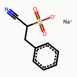 N#CC(Cc1ccccc1)S(=O)(=O)[O-].[Na+]